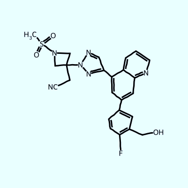 CS(=O)(=O)N1CC(CC#N)(n2ncc(-c3cc(-c4ccc(F)c(CO)c4)cc4ncccc34)n2)C1